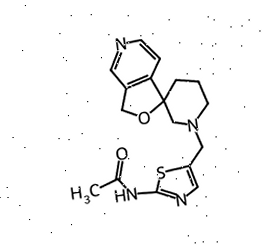 CC(=O)Nc1ncc(CN2CCCC3(C2)OCc2cnccc23)s1